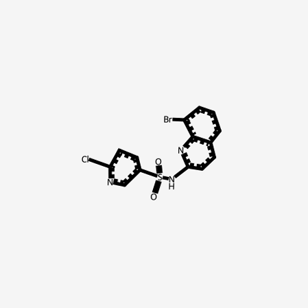 O=S(=O)(Nc1ccc2cccc(Br)c2n1)c1ccc(Cl)nc1